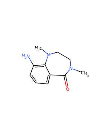 CN1CCN(C)c2c(N)cccc2C1=O